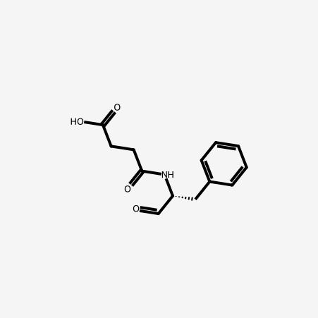 O=C[C@@H](Cc1ccccc1)NC(=O)CCC(=O)O